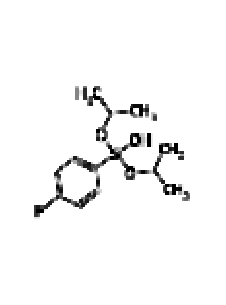 CC(C)O[Si](O)(OC(C)C)c1ccc(F)cc1